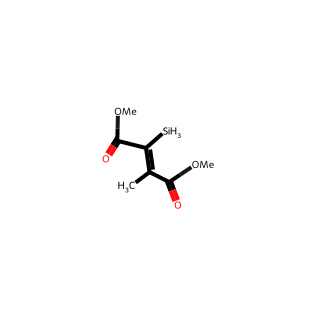 COC(=O)C(C)=C([SiH3])C(=O)OC